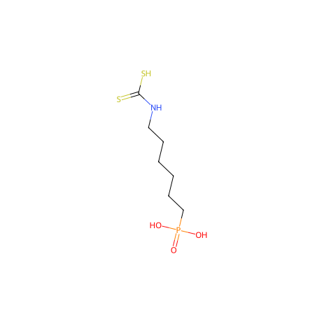 O=P(O)(O)CCCCCCNC(=S)S